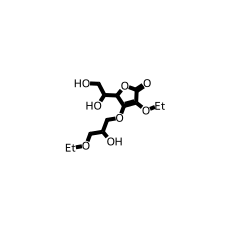 CCOCC(O)COC1=C(OCC)C(=O)OC1C(O)CO